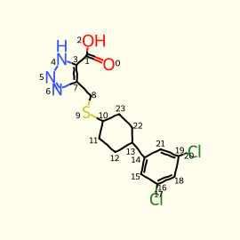 O=C(O)c1[nH]nnc1CSC1CCC(c2cc(Cl)cc(Cl)c2)CC1